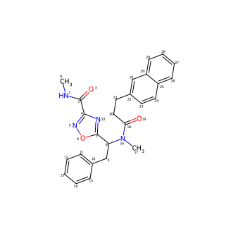 CNC(=O)c1noc(C(Cc2ccccc2)N(C)C(=O)CCc2ccc3ccccc3c2)n1